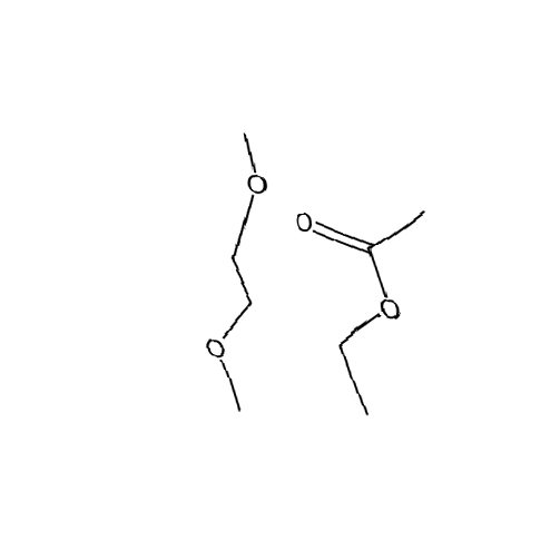 CCOC(C)=O.COCCOC